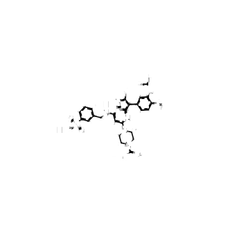 COc1ccc(-c2c(C)nn3c(NCc4cccc(S(C)(=O)=O)c4)cc(N4CCN(C(C)=O)CC4)nc23)cc1OC(F)F